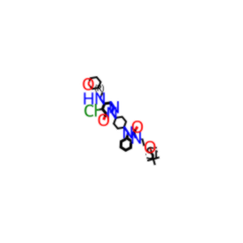 CC(C)(C)[Si](C)(C)OCCn1c(=O)n(C2CCC(n3ncc(NC[C@H]4CCCOC4)c(Cl)c3=O)CC2)c2ccccc21